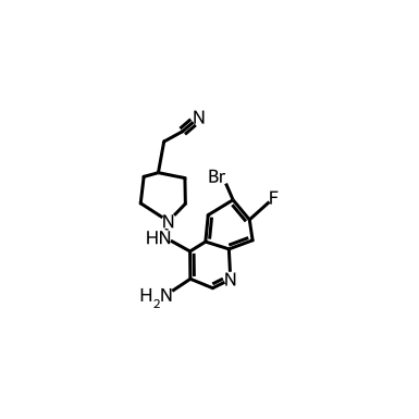 N#CCC1CCN(Nc2c(N)cnc3cc(F)c(Br)cc23)CC1